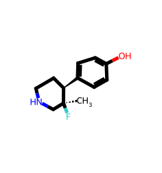 C[C@]1(F)CNCC[C@H]1c1ccc(O)cc1